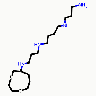 NCCCNCCCCNCCCNC1CCCCCCCC1